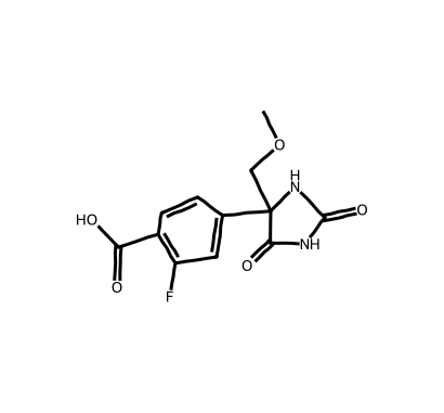 COCC1(c2ccc(C(=O)O)c(F)c2)NC(=O)NC1=O